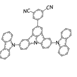 N#Cc1cc(C#N)cc(-c2cc3c4cc(-n5c6ccccc6c6ccccc65)ccc4n4c5ccc(-n6c7ccccc7c7ccccc76)cc5c(c2)c34)c1